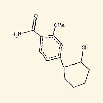 COc1nc(C2CCCCC2O)ccc1C(N)=O